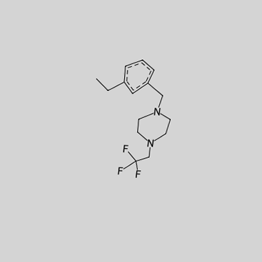 CCc1cccc(CN2CCN(CC(F)(F)F)CC2)c1